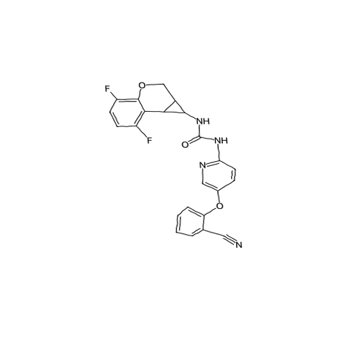 N#Cc1ccccc1Oc1ccc(NC(=O)NC2C3COc4c(F)ccc(F)c4C32)nc1